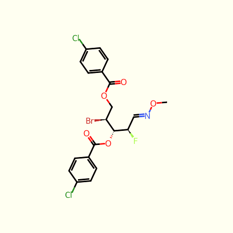 CO/N=C/[C@@H](F)[C@H](OC(=O)c1ccc(Cl)cc1)[C@@H](Br)COC(=O)c1ccc(Cl)cc1